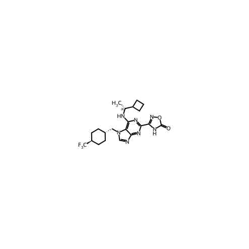 C[C@@H](Nc1nc(-c2noc(=O)[nH]2)nc2ncn(C[C@H]3CC[C@H](C(F)(F)F)CC3)c12)C1CCC1